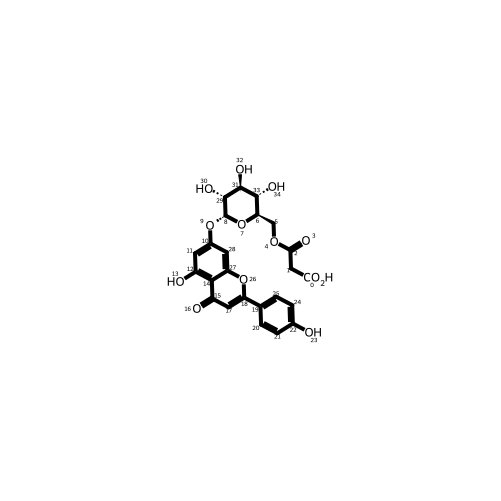 O=C(O)CC(=O)OC[C@H]1O[C@H](Oc2cc(O)c3c(=O)cc(-c4ccc(O)cc4)oc3c2)[C@H](O)[C@@H](O)[C@@H]1O